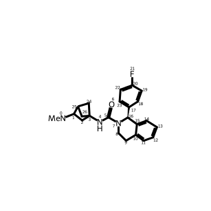 CNC1CC2(NC(=O)N3CCc4ccccc4[C@@H]3c3ccc(F)cc3)CC1C2